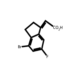 O=C(O)/C=C1/CCc2c(Br)cc(F)cc21